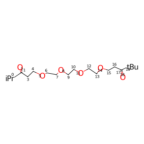 CC(C)C(=O)CCOCCOCCOCCOCCC(=O)C(C)(C)C